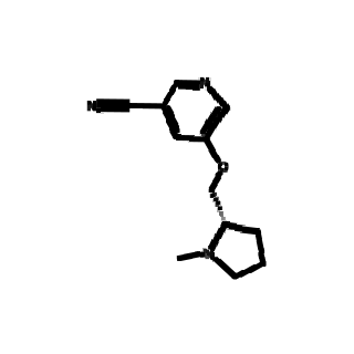 CN1CCC[C@H]1COc1cncc(C#N)c1